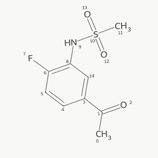 CC(=O)c1ccc(F)c(NS(C)(=O)=O)c1